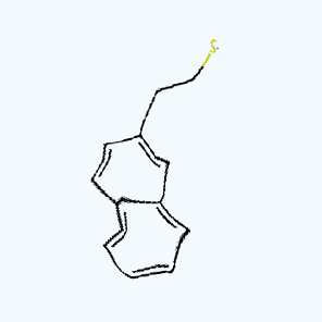 [S]CCc1ccc2ccccc2c1